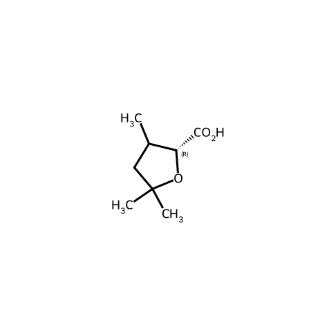 CC1CC(C)(C)O[C@H]1C(=O)O